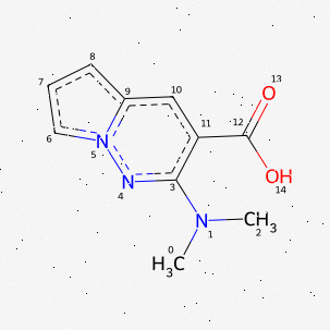 CN(C)c1nn2cccc2cc1C(=O)O